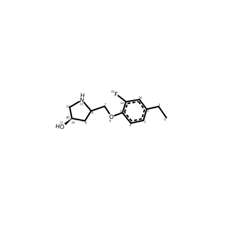 CCc1ccc(OCC2C[C@@H](O)CN2)c(F)c1